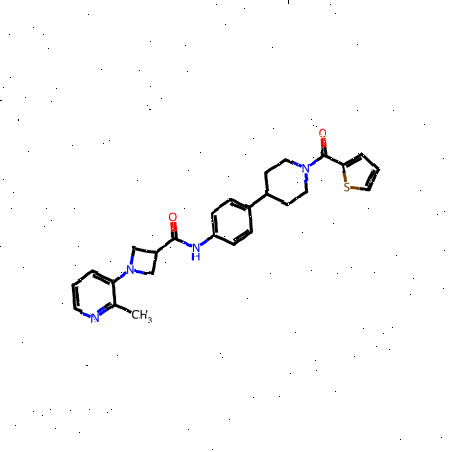 Cc1ncccc1N1CC(C(=O)Nc2ccc(C3CCN(C(=O)c4cccs4)CC3)cc2)C1